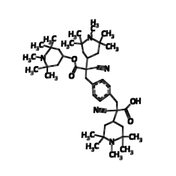 CN1C(C)(C)CC(OC(=O)C(C#N)(Cc2ccc(CC(C#N)(C(=O)O)C3CC(C)(C)N(C)C(C)(C)C3)cc2)C2CC(C)(C)N(C)C(C)(C)C2)CC1(C)C